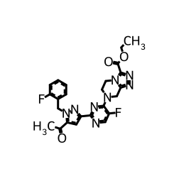 CCOC(=O)c1nnc2n1CCN(c1nc(-c3cc(C(C)=O)n(Cc4ccccc4F)n3)ncc1F)C2